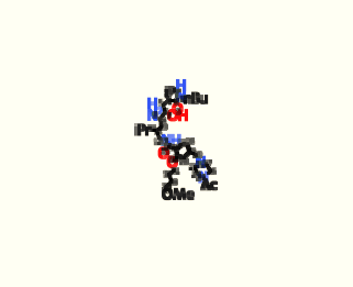 CCCCNC(=O)C(CC(O)C(N)CC(CNC(=O)c1ccc(CN2CCN(C(C)=O)CC2)cc1OCCCCOC)C(C)C)C(C)C